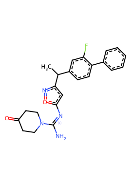 CC(c1ccc(-c2ccccc2)c(F)c1)c1cc(/N=C(/N)N2CCC(=O)CC2)on1